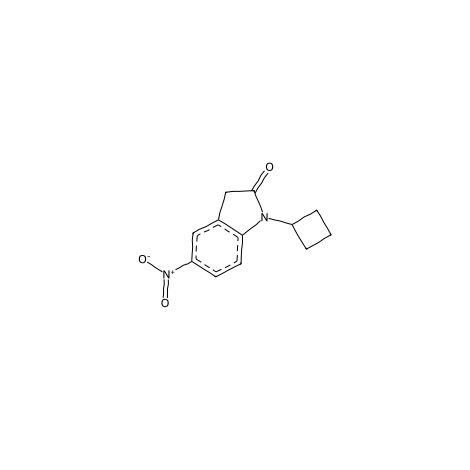 O=C1Cc2cc([N+](=O)[O-])ccc2N1C1CCC1